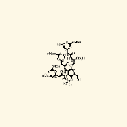 CCCCCCCCCCC[C@H](CC(=O)NC1C(OC[C@@H](NC(=O)C[C@@H](CCCCCCCCCCC)OC(=O)CCCCCCCCC)C(=O)O)OC(CO)C(OP(=O)(O)O)C1OC(=O)C[C@@H](CCCCCCCCCCC)OC(=O)CCCCCCCCC)OC(=O)CCCCCCCCC